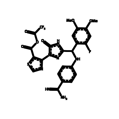 COc1cc(F)c(C(Nc2ccc(C(=N)N)cc2)c2nn(-c3ncsc3C(=O)OC(=O)C(F)(F)F)c(=O)[nH]2)cc1OC